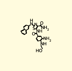 NC(=O)c1nc(Nc2ccc3ccccc3c2)sc1NC(=O)c1ccc(NCCO)c(N)c1